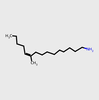 CCCCC=C(C)CCCCCCCCCN